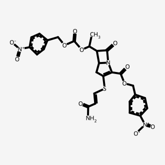 CC(OC(=O)OCc1ccc([N+](=O)[O-])cc1)C1C(=O)N2C(C(=O)OCc3ccc([N+](=O)[O-])cc3)=C(SC=CC(N)=O)CC12